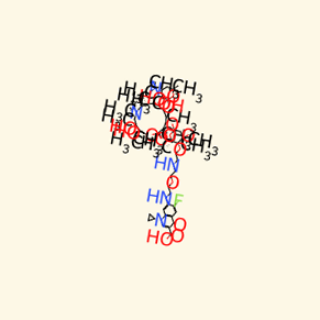 CC[C@H]1OC(=O)[C@H](C)[C@@H](O[C@H]2C[C@@](C)(OC)[C@@H](OCCNCCOCCNc3cc4c(cc3F)c(=O)c(C(=O)O)cn4C3CC3)[C@H](C)O2)[C@H](C)[C@@H](O[C@@H]2O[C@H](C)C[C@H](N(C)C)[C@H]2O)[C@](C)(O)C[C@@H](C)CN(C)[C@H](C)[C@@H](O)[C@]1(C)O